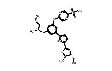 COC[C@H](C)Oc1cc(Oc2cnc(S(C)(=O)=O)cn2)cc(-c2ccc(C3=N[C@H](CO)[C@H](C)O3)[nH]2)c1